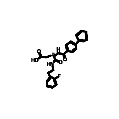 O=C(O)CC[C@H](NC(=O)c1ccc(-c2ccccc2)cc1)C(=O)NCCc1ccccc1F